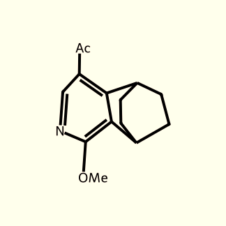 COc1ncc(C(C)=O)c2c1C1CCC2CC1